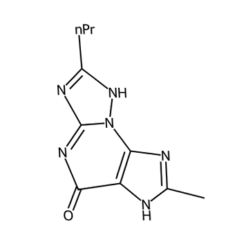 CCCc1nc2nc(=O)c3[nH]c(C)nc3n2[nH]1